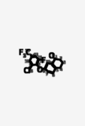 O=C1CCCc2ccc(Oc3c(F)cc(C(F)(F)F)cc3Cl)cc21